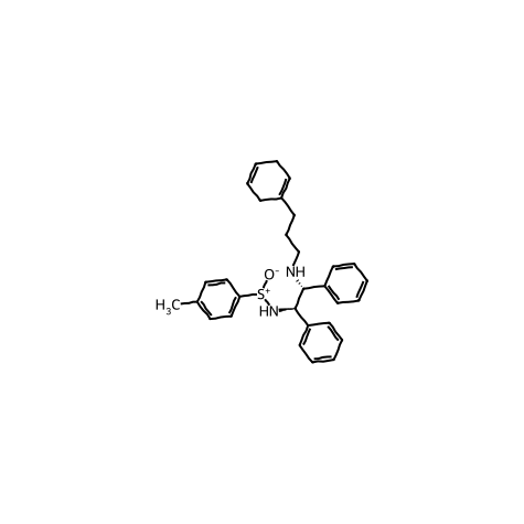 Cc1ccc([S+]([O-])N[C@H](c2ccccc2)[C@H](NCCCC2=CCC=CC2)c2ccccc2)cc1